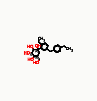 CCc1ccc(Cc2ccc(CC)c([C@]3(O)C[C@H](CO)[C@@H](O)[C@H](O)[C@H]3O)c2)cc1